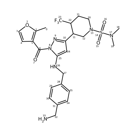 Cc1occc1C(=O)n1nc(C2CN(S(=O)(=O)N(C)C)CCC2C(F)(F)F)cc1NCc1ccc(CN)cc1